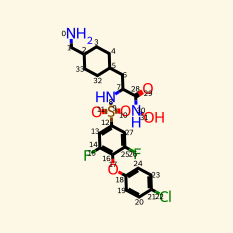 NCC1CCC(CC(NS(=O)(=O)c2cc(F)c(Oc3ccc(Cl)cc3)c(F)c2)C(=O)NO)CC1